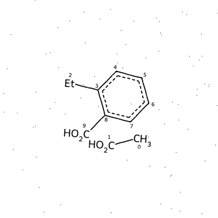 CC(=O)O.CCc1ccccc1C(=O)O